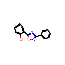 Oc1ccccc1-c1nc(-c2ccccc2)no1